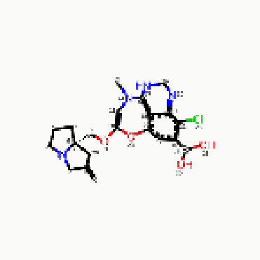 C=C1CN2CCC[C@@]2(COC2=CN(C)C3=c4c(cc(B(O)O)c(Cl)c4=NCN3)O2)C1